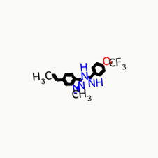 C/C=C/c1ccc2c(NC(=N)c3ccc(OC(F)(F)F)cc3)nn(C)c2c1